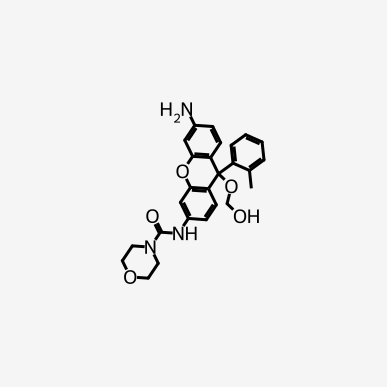 Cc1ccccc1C1(OCO)c2ccc(N)cc2Oc2cc(NC(=O)N3CCOCC3)ccc21